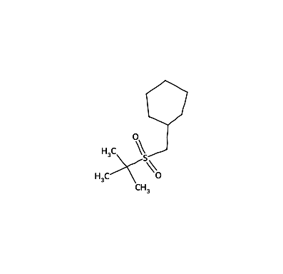 CC(C)(C)S(=O)(=O)CC1CCCCC1